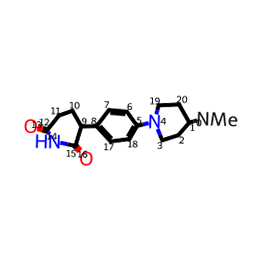 CNC1CCN(c2ccc(C3CCC(=O)NC3=O)cc2)CC1